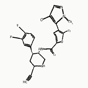 C#CC1C[C@@H](c2ccc(F)c(F)c2)[C@H](NC(=O)c2cc(-c3c(Cl)cnn3C)c(Cl)o2)CN1